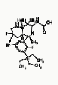 CC[Si](CC)(CC)c1cc(Br)nc([C@@]2(C)N=C(NC(=O)O)C(C)(C)S3(O)NCC(F)(F)C[C@@H]23)c1F